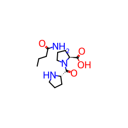 CCCC(N)=O.O=C(O)[C@@H]1CCCN1C(=O)[C@@H]1CCCN1